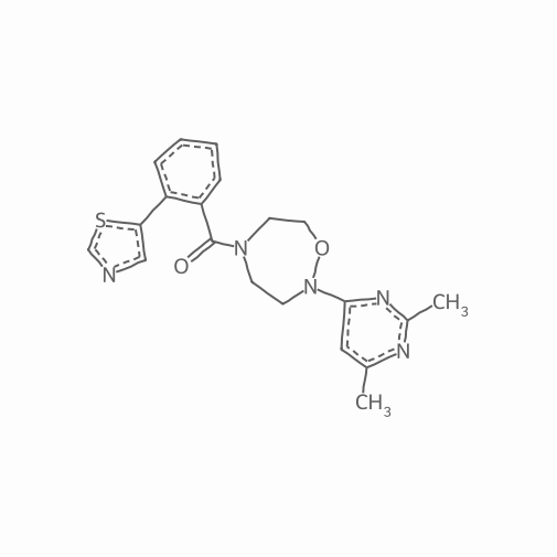 Cc1cc(N2CCN(C(=O)c3ccccc3-c3cncs3)CCO2)nc(C)n1